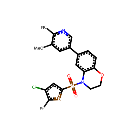 CCc1sc(S(=O)(=O)N2CCOc3ccc(-c4cnc(C#N)c(OC)c4)cc32)cc1Cl